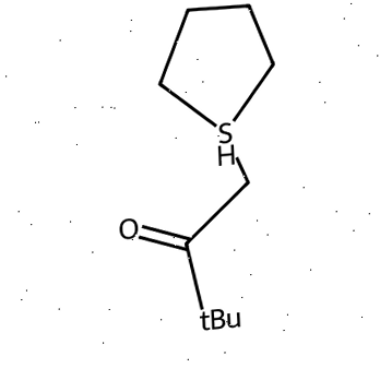 CC(C)(C)C(=O)C[SH]1CCCC1